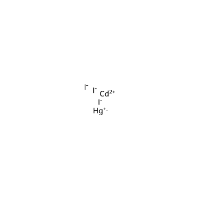 [Cd+2].[Hg+].[I-].[I-].[I-]